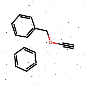 C#COCc1ccccc1.c1ccccc1